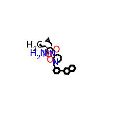 C=CC[C@H](C(N)=O)[C@@H](CC1CC1)C(=O)N[C@H]1CCCCN(Cc2cccc(-c3ccc4ccccc4c3)c2)C1=O